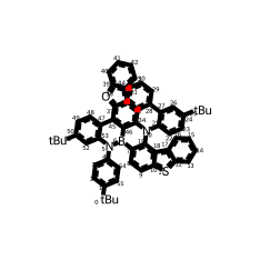 CC(C)(C)c1ccc(N2B3c4ccc5sc6ccccc6c5c4N(c4ccc(C(C)(C)C)cc4-c4ccccc4)c4cc5c(oc6ccccc65)c(c43)-c3ccc(C(C)(C)C)cc32)cc1